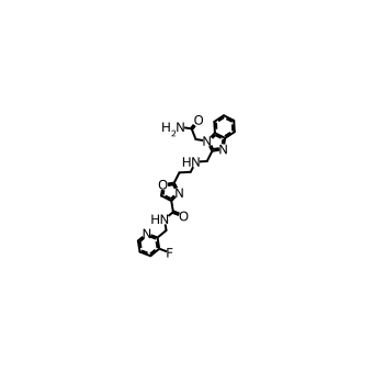 NC(=O)Cn1c(CNCCc2nc(C(=O)NCc3ncccc3F)co2)nc2ccccc21